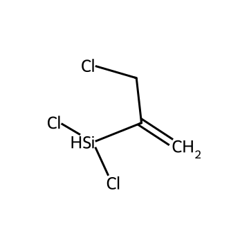 C=C(CCl)[SiH](Cl)Cl